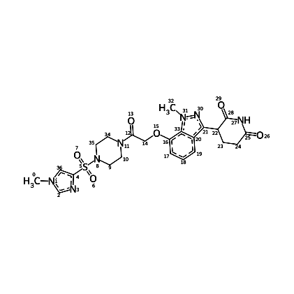 Cn1cnc(S(=O)(=O)N2CCN(C(=O)COc3cccc4c(C5CCC(=O)NC5=O)nn(C)c34)CC2)c1